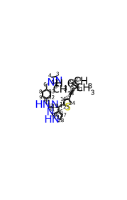 Cc1nccn1Cc1ccc(Nc2nc(-c3cc(C#C[Si](C)(C)C)cs3)c3cc[nH]c3n2)cc1